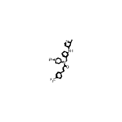 Cc1cc(Nc2cccc(CN(C(=O)C=Cc3ccc(C(F)(F)F)cc3)C3CCN(C(C)C)CC3)c2)ccn1